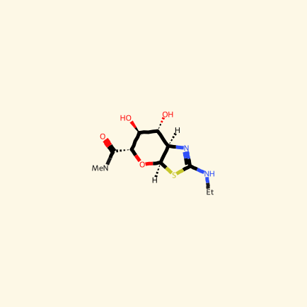 CCNC1=N[C@@H]2[C@@H](O)[C@H](O)[C@@H](C(=O)NC)O[C@@H]2S1